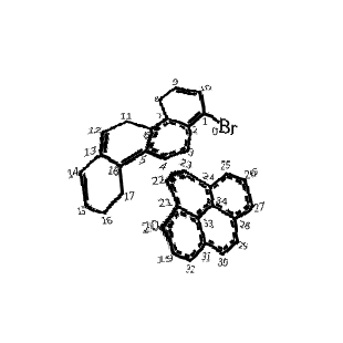 BrC1=c2ccc3c(c2CC=C1)CC=C1C=CCCC=31.c1cc2ccc3cccc4ccc(c1)c2c34